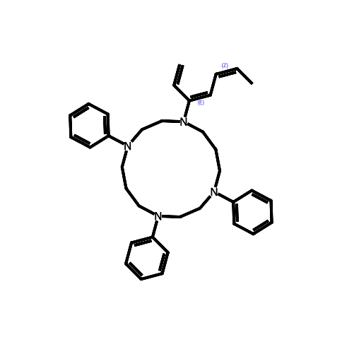 C=C/C(=C\C=C/C)N1CCCN(c2ccccc2)CCN(c2ccccc2)CCCN(c2ccccc2)CC1